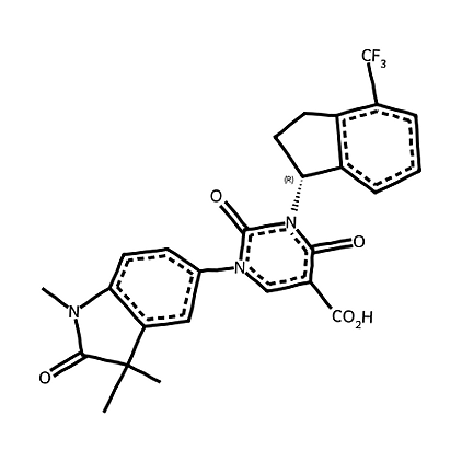 CN1C(=O)C(C)(C)c2cc(-n3cc(C(=O)O)c(=O)n([C@@H]4CCc5c4cccc5C(F)(F)F)c3=O)ccc21